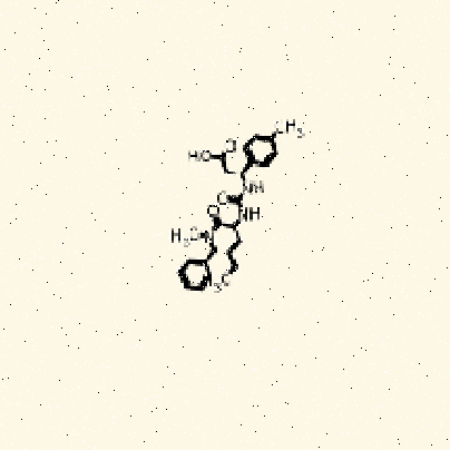 CCCC[C@H](NC(=O)N[C@@H](CC(=O)O)c1ccc(C)cc1)C(=O)N(C)Cc1ccccc1